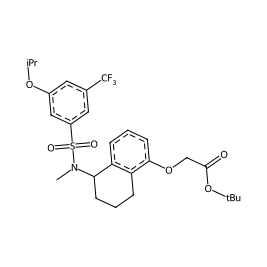 CC(C)Oc1cc(C(F)(F)F)cc(S(=O)(=O)N(C)C2CCCc3c(OCC(=O)OC(C)(C)C)cccc32)c1